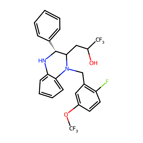 OC(CC1[C@@H](c2ccccc2)Nc2ccccc2N1Cc1cc(OC(F)(F)F)ccc1F)C(F)(F)F